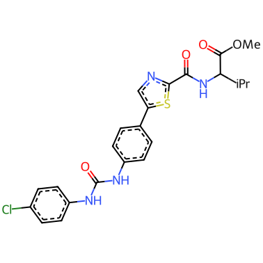 COC(=O)C(NC(=O)c1ncc(-c2ccc(NC(=O)Nc3ccc(Cl)cc3)cc2)s1)C(C)C